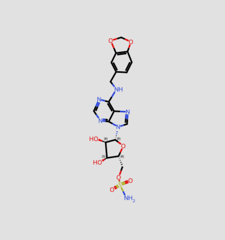 NS(=O)(=O)OC[C@H]1O[C@@H](n2cnc3c(NCc4ccc5c(c4)OCO5)ncnc32)[C@H](O)[C@@H]1O